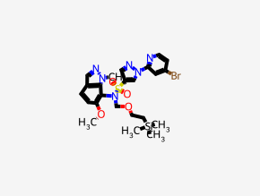 COc1ccc2cnn(C)c2c1N(COCC[Si](C)(C)C)S(=O)(=O)c1cnn(-c2cc(Br)ccn2)c1